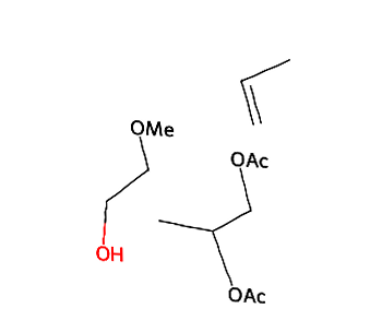 C=CC.CC(=O)OCC(C)OC(C)=O.COCCO